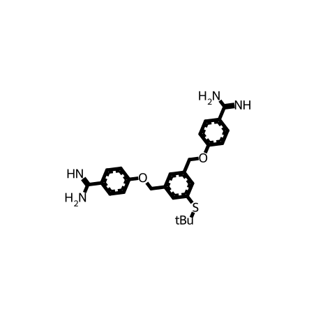 CC(C)(C)Sc1cc(COc2ccc(C(=N)N)cc2)cc(COc2ccc(C(=N)N)cc2)c1